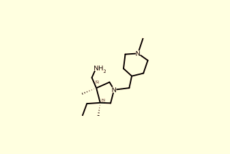 CC[C@]1(C)CN(CC2CCN(C)CC2)C[C@]1(C)CN